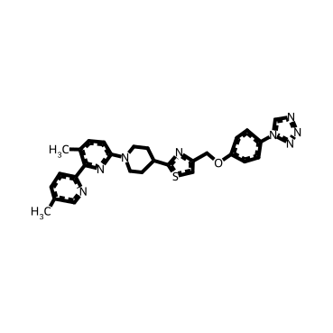 Cc1ccc(-c2nc(N3CCC(c4nc(COc5ccc(-n6cnnn6)cc5)cs4)CC3)ccc2C)nc1